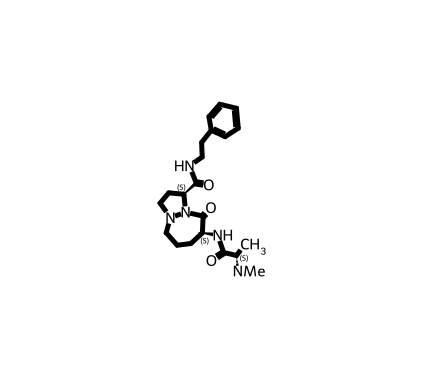 CN[C@@H](C)C(=O)N[C@H]1CCCN2CC[C@@H](C(=O)NCCc3ccccc3)N2C1=O